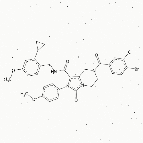 COc1ccc(-n2c(C(=O)NCc3ccc(OC)cc3C3CC3)c3n(c2=O)CCN(C(=O)c2ccc(Br)c(Cl)c2)C3)cc1